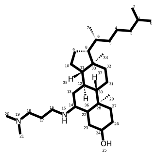 CC(C)CCC[C@@H](C)[C@H]1CC[C@H]2[C@@H]3CC(NCCCN(C)C)C4CC(O)CC[C@]4(C)[C@H]3CC[C@]12C